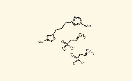 C=CCS(=O)(=O)[O-].C=CCS(=O)(=O)[O-].CCCCn1cc[n+](CCC[n+]2ccn(CCCC)c2)c1